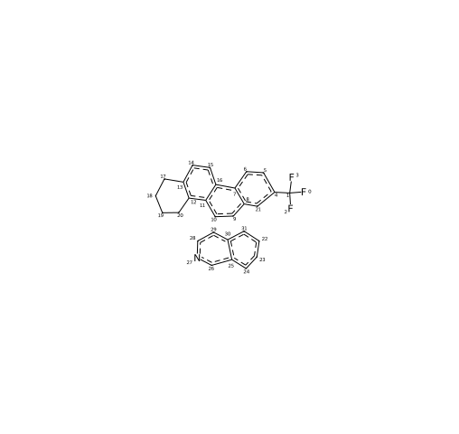 FC(F)(F)c1ccc2c(ccc3c4c(ccc32)CCCC4)c1.c1ccc2cnccc2c1